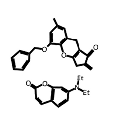 C=C1CC2=C(Cc3cc(C)cc(OCc4ccccc4)c3O2)C1=O.CCN(CC)c1ccc2ccc(=O)oc2c1